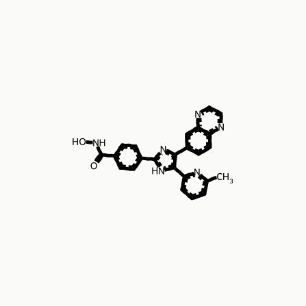 Cc1cccc(-c2[nH]c(-c3ccc(C(=O)NO)cc3)nc2-c2ccc3nccnc3c2)n1